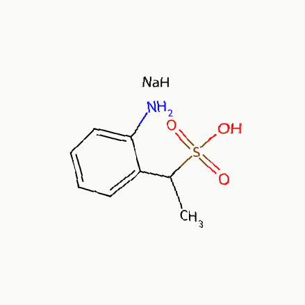 CC(c1ccccc1N)S(=O)(=O)O.[NaH]